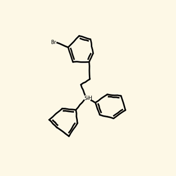 Brc1cccc(CC[SiH](c2ccccc2)c2ccccc2)c1